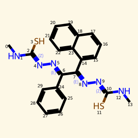 CN/C(S)=N/N=C(/C(=N/N=C(\S)NC)c1cccc2ccccc12)c1ccccc1